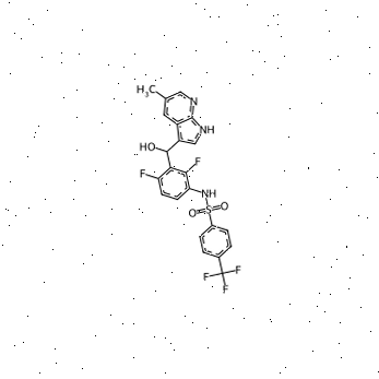 Cc1cnc2[nH]cc(C(O)c3c(F)ccc(NS(=O)(=O)c4ccc(C(F)(F)F)cc4)c3F)c2c1